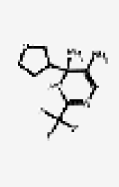 NC1=CN=C(C(F)(F)F)N[C@]1(N)C1CCOC1